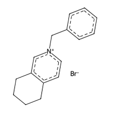 [Br-].c1ccc(C[n+]2ccc3c(c2)CCCC3)cc1